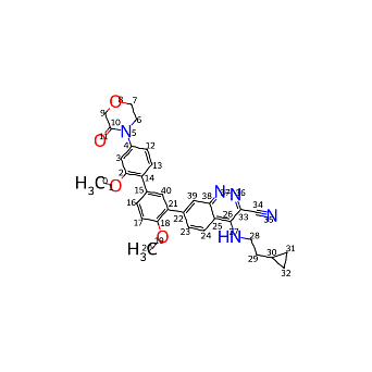 COc1cc(N2CCOCC2=O)ccc1-c1ccc(OC)c(-c2ccc3c(NCCC4CC4)c(C#N)nnc3c2)c1